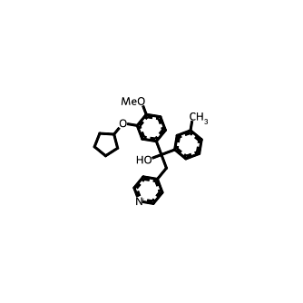 COc1ccc(C(O)(Cc2ccncc2)c2cccc(C)c2)cc1OC1CCCC1